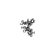 C=C[C@@H](COC(=O)CC)NP(=O)(OC[C@H]1O[C@@H](n2ccc(=O)[nH]c2=O)[C@@H](Cl)[C@@H]1O)Oc1ccccc1